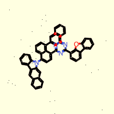 c1ccc(-c2nc(-c3cccc4c3oc3ccccc34)nc(-c3ccc(-n4c5ccccc5c5cc6ccccc6cc54)c4cccc(-c5ccccc5)c34)n2)cc1